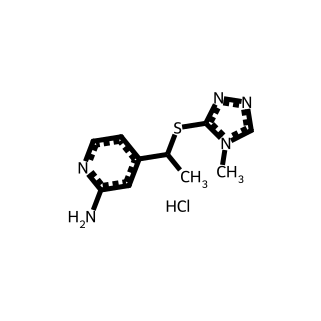 CC(Sc1nncn1C)c1ccnc(N)c1.Cl